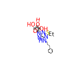 CCSc1nc(NCCCc2ccccc2)c2ncn([C@@H]3O[C@H](CO)[C@@H](O)[C@H]3O)c2n1